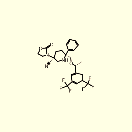 C[C@@H](OC[C@@]1(c2ccccc2)CC[C@](C#N)(N2CCOC2=O)CN1)C1=CC(C(F)(F)F)=CC(C(F)(F)F)C1